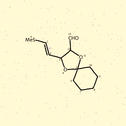 CS/C=C/C1OC2(CCCCC2)OC1C=O